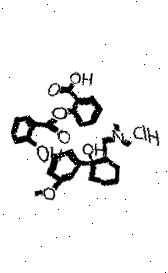 COc1cccc([C@@]2(O)CCCC[C@@H]2CN(C)C)c1.Cl.O=C(Oc1ccccc1C(=O)O)c1ccccc1O